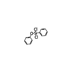 Cl[Si](Cl)(Oc1ccccc1)c1ccccc1